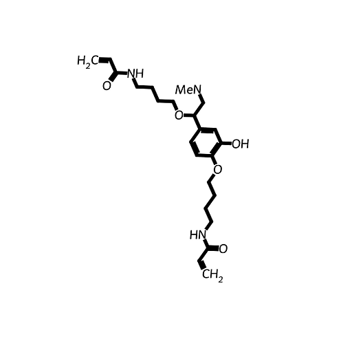 C=CC(=O)NCCCCOc1ccc(C(CNC)OCCCCNC(=O)C=C)cc1O